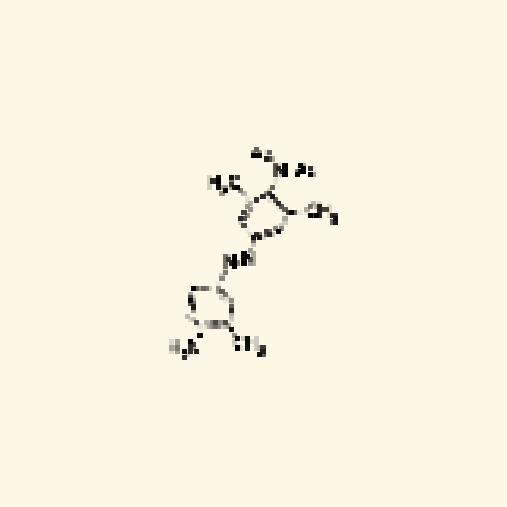 CC(=O)N(C(C)=O)c1c(C)cc(N=Nc2ccc(N)c(C)c2)cc1C